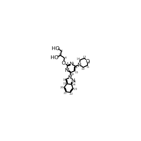 OCC(O)COc1nc(N2CCOCC2)cc(-n2cc3ccccc3n2)n1